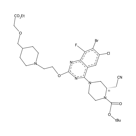 CCOC(=O)COCC1CCN(CCOc2nc(N3CCN(C(=O)OC(C)(C)C)[C@@H](CC#N)C3)c3cc(Cl)c(Br)c(F)c3n2)CC1